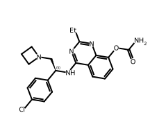 CCc1nc(N[C@H](CN2CCC2)c2ccc(Cl)cc2)c2cccc(OC(N)=O)c2n1